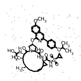 COc1ccc2c(O[C@@H]3C[C@H]4C(=O)N[C@]5(C(=O)NS(=O)(=O)C6CC6)CC5/C=C\CC[C@@H](C)C[C@@H](C)[C@H](NC(=O)O)C(=O)N4C3)nc(-c3ccc(OC(C)C)cc3)cc2c1